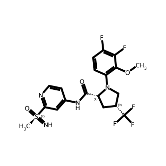 COc1c(N2C[C@H](C(F)(F)F)C[C@@H]2C(=O)Nc2ccnc([S@](C)(=N)=O)c2)ccc(F)c1F